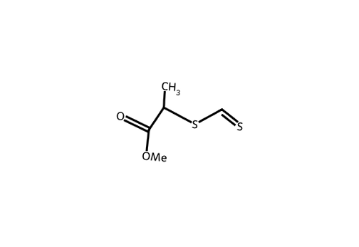 COC(=O)C(C)SC=S